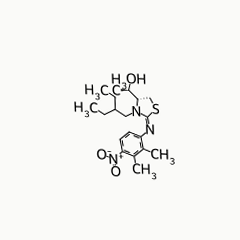 CCC(CC)CN1C(=Nc2ccc([N+](=O)[O-])c(C)c2C)SC[C@H]1[C@@H](C)O